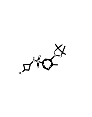 Cc1ccc(S(=O)(=O)NC2CC(O)C2)cc1B1OC(C)(C)C(C)(C)O1